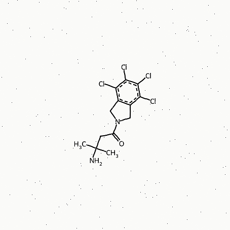 CC(C)(N)CC(=O)N1Cc2c(Cl)c(Cl)c(Cl)c(Cl)c2C1